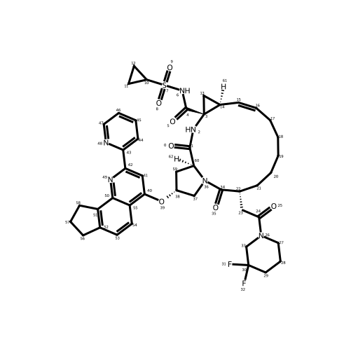 O=C1N[C@]2(C(=O)NS(=O)(=O)C3CC3)C[C@H]2/C=C\CCCCC[C@H](CC(=O)N2CCCC(F)(F)C2)C(=O)N2C[C@H](Oc3cc(-c4ccccn4)nc4c5c(ccc34)CCC5)C[C@@H]12